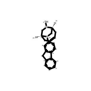 SN1C[C@@H]2C/C=C\C[C@H]1CN2c1ccc2c(c1)Cc1ccccc1-2